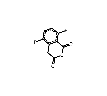 O=C1Cc2c(F)ccc(F)c2C(=O)O1